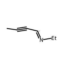 CC#C/[C]=N/CC